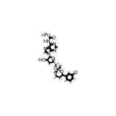 CCCC(=O)Nc1ncnc2c1ncn2[C@@H]1O[C@H](COP2(=S)OCCC(c3cccc(Cl)c3)O2)CC1O